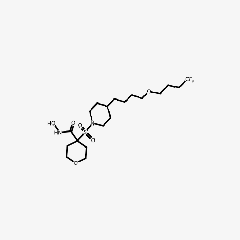 O=C(NO)C1(S(=O)(=O)N2CCC(CCCCOCCCC(F)(F)F)CC2)CCOCC1